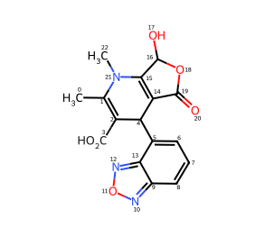 CC1=C(C(=O)O)C(c2cccc3nonc23)C2=C(C(O)OC2=O)N1C